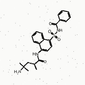 CC(CC(C)(C)N)C(=O)Nc1ccc(S(=O)(=O)NC(=O)c2ccccc2)c2ccccc12